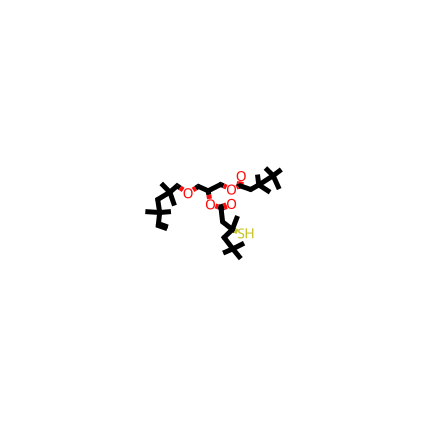 C=CC(C)(C)CC(C)(C)COCC(COC(=O)CC(C)(C)C(C)(C)C)OC(=O)CC(C)(S)CC(C)(C)C